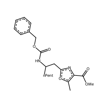 CCCCCC(Cc1nc(C(=O)OC)c(C)o1)NC(=O)OCc1ccccc1